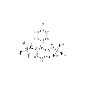 Cc1ccc(-c2c(OC(F)(F)F)cccc2OC(F)(F)F)cc1